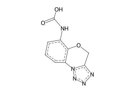 O=C(O)Nc1cccc2c1OCc1nnnn1-2